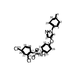 Cc1ccc(-n2cc(Oc3ccc(NS(=O)(=O)c4ccc(Cl)cc4Cl)cc3)cn2)cc1